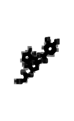 CC(C)C12C[C@@H](OC(=O)CO)[C@@](C)(O1)[C@@H]1CC[C@@H](C)[C@H]1[C@@H]2OC(=O)c1ccc(Cl)c(Cl)c1